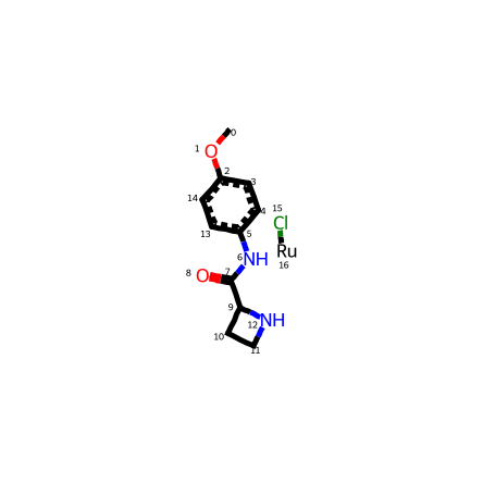 COc1ccc(NC(=O)C2CCN2)cc1.[Cl][Ru]